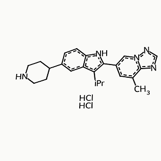 Cc1cc(-c2[nH]c3ccc(C4CCNCC4)cc3c2C(C)C)cn2ncnc12.Cl.Cl